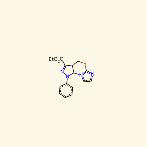 CCOC(=O)C1=NN(c2ccccc2)C2C1CSc1nccn12